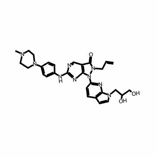 C=CCn1c(=O)c2cnc(Nc3ccc(N4CCN(C)CC4)cc3)nc2n1-c1ccc2ccn(CC(O)CO)c2n1